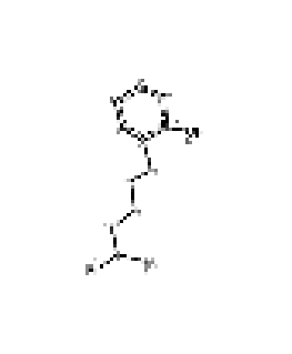 CCC(CC)SCCCc1ccccc1O